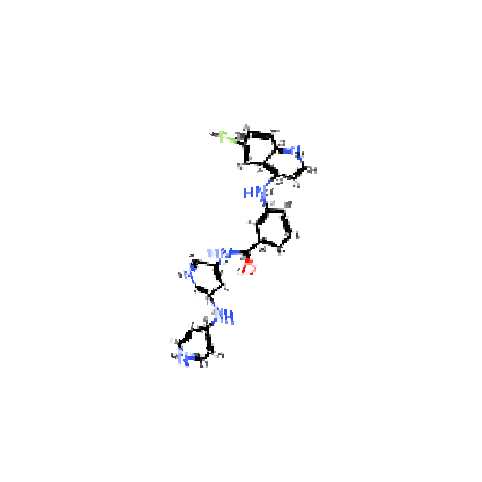 O=C(Nc1cncc(Nc2ccncc2)c1)c1cccc(Nc2ccnc3ccc(F)cc23)c1